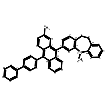 Cc1ccc2c(-c3ccc(-c4ccccc4)cc3)c3ccccc3c(-c3ccc4c(c3)N(C)c3ccccc3CC4)c2c1